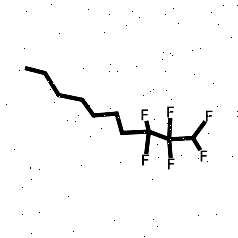 CCCCCCCC(F)(F)C(F)(F)C(F)F